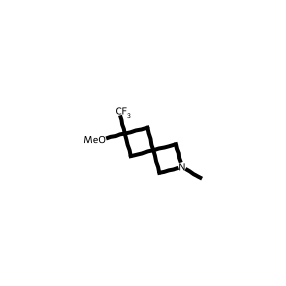 COC1(C(F)(F)F)CC2(CN(C)C2)C1